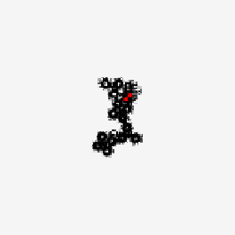 O=S(=O)(Oc1cc2c(cc1-c1ccc3c(c1)c1ccccc1n3-c1ccccc1)-c1ccccc1C2(c1ccccc1)c1ccc(-c2ccc3c(c2)c2cc(-c4cc5c(cc4O)C(c4ccccc4)(c4ccccc4)c4ccccc4-5)ccc2n3-c2ccccc2)cc1)C(F)(F)C(F)(F)C(F)(F)C(F)(F)F